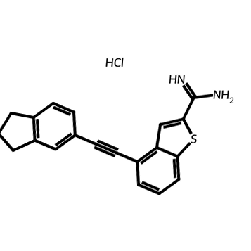 Cl.N=C(N)c1cc2c(C#Cc3ccc4c(c3)CCC4)cccc2s1